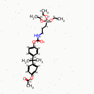 CCO[Si](CCCNC(=O)Oc1ccc(C(C)(C)c2ccc(OC(C)=O)cc2)cc1)(OCC)OCC